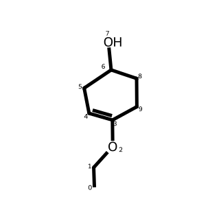 CCOC1=CCC(O)CC1